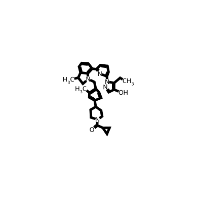 CCc1c(O)cnn1-c1cccc(-c2cccc3c2N(Cc2ccc(C4CCN(C(=O)C5CC5)CC4)cc2C)CC3C)n1